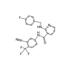 N#Cc1cc(NC(=O)c2cccnc2NCc2ccc(F)cc2)ccc1C(F)(F)F